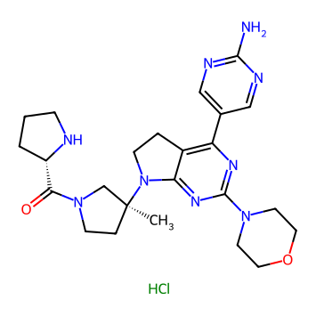 C[C@]1(N2CCc3c(-c4cnc(N)nc4)nc(N4CCOCC4)nc32)CCN(C(=O)[C@@H]2CCCN2)C1.Cl